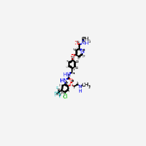 CNCCOc1cc(Cl)c(C(F)(F)F)cc1NC(=O)NCc1ccc(Oc2ccnc(C(=O)NC)c2)cc1